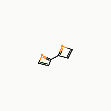 C1=CC(C2=PC=C2)=P1